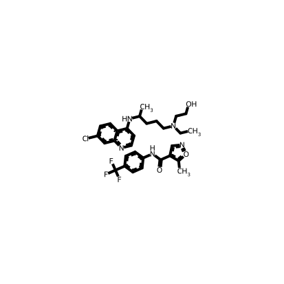 CCN(CCO)CCCC(C)Nc1ccnc2cc(Cl)ccc12.Cc1oncc1C(=O)Nc1ccc(C(F)(F)F)cc1